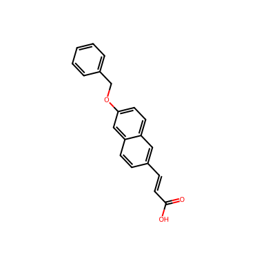 O=C(O)C=Cc1ccc2cc(OCc3ccccc3)ccc2c1